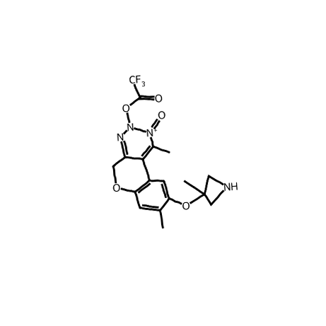 Cc1cc2c(cc1OC1(C)CNC1)-c1c(nn(OC(=O)C(F)(F)F)[n+](=O)c1C)CO2